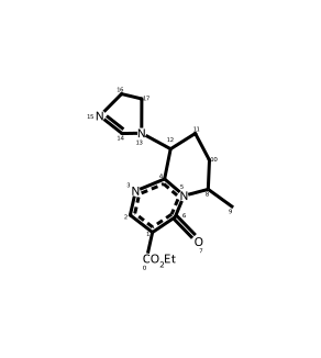 CCOC(=O)c1cnc2n(c1=O)C(C)CCC2N1C=NCC1